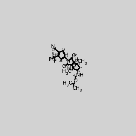 CC(C)OCN[C@H]1C[C@]2(C)O[C@@]1(C)[C@H]1C(=O)N(c3ccc(C#N)c(C(F)(F)F)c3)C(=O)[C@H]12